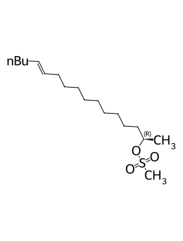 CCCCC=CCCCCCCCCC[C@@H](C)OS(C)(=O)=O